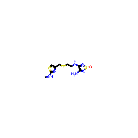 CNc1nc(CSCCNc2n[s+]([O-])nc2N)cs1